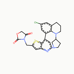 O=C1COC(=O)N1Cc1cc2nccc(-c3cc(Cl)cc4c3N(C3CCNC3)CCC4)c2s1